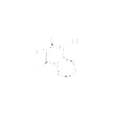 Cn1c(=O)[nH]c(=O)c2ccccc21